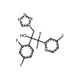 OC(Cn1cnnn1)(c1ccc(F)cc1F)C(F)(F)c1cc(F)ccn1